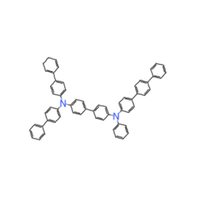 C1=CC(c2ccc(N(c3ccc(-c4ccccc4)cc3)c3ccc(-c4ccc(N(c5ccccc5)c5ccc(-c6ccc(-c7ccccc7)cc6)cc5)cc4)cc3)cc2)=CCC1